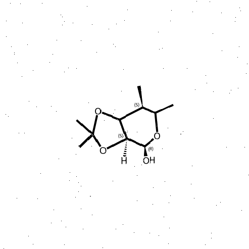 CC1O[C@@H](O)[C@H]2OC(C)(C)OC2[C@H]1C